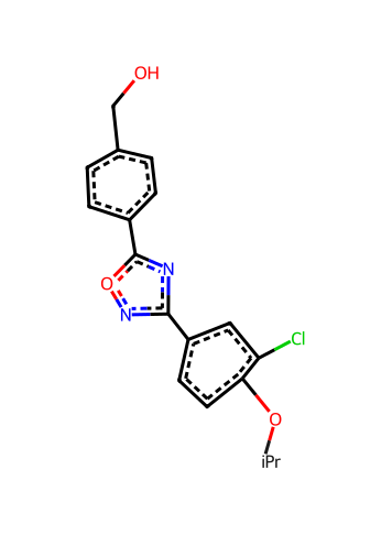 CC(C)Oc1ccc(-c2noc(-c3ccc(CO)cc3)n2)cc1Cl